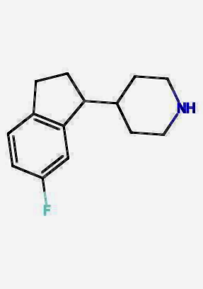 Fc1ccc2c(c1)C(C1CCNCC1)CC2